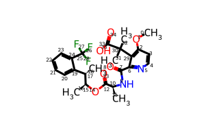 COc1ccnc(C(=O)N[C@@H](C)C(=O)O[C@@H](C)[C@@H](C)c2ccccc2C(F)(F)F)c1C(C)(C)C(=O)O